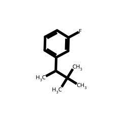 CC(c1cccc(F)c1)C(C)(C)C